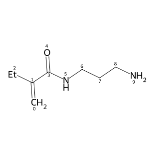 C=C(CC)C(=O)NCCCN